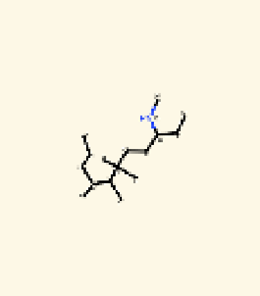 CCCC(C)C(C)C(C)(C)CCC(CC)NC